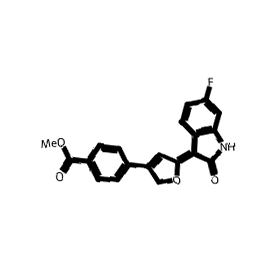 COC(=O)c1ccc(C2=CC(=C3C(=O)Nc4cc(F)ccc43)OC2)cc1